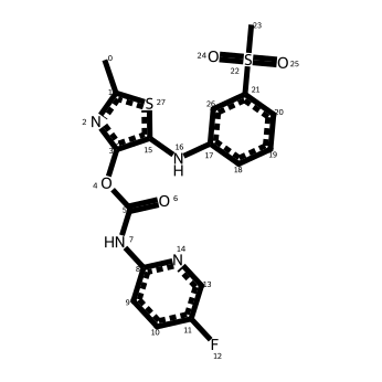 Cc1nc(OC(=O)Nc2ccc(F)cn2)c(Nc2cccc(S(C)(=O)=O)c2)s1